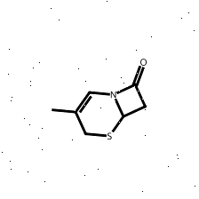 CC1=CN2C(=O)CC2SC1